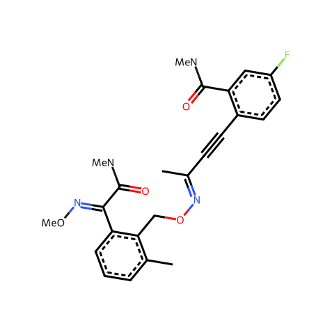 CNC(=O)/C(=N/OC)c1cccc(C)c1CO/N=C(\C)C#Cc1ccc(F)cc1C(=O)NC